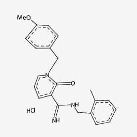 COc1ccc(Cn2cccc(C(=N)NCc3ccccc3C)c2=O)cc1.Cl